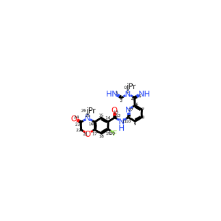 CC(C)N(C=N)C(=N)c1cccc(NC(=O)c2cc3c(cc2F)OCC(=O)N3C(C)C)n1